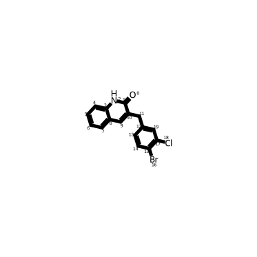 O=c1[nH]c2ccccc2cc1Cc1ccc(Br)c(Cl)c1